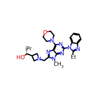 CCc1nc2ccccc2n1-c1nc(N2CCOCC2)c2nc(CN3CC([C@H](O)C(C)C)C3)n(C)c2n1